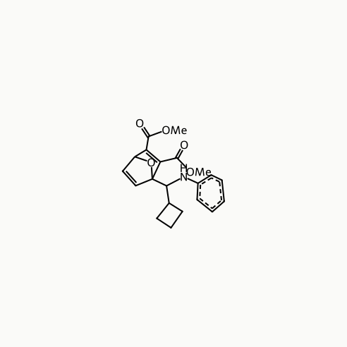 COC(=O)C1=C(C(=O)OC)C2(C(Nc3ccccc3)C3CCC3)C=CC1O2